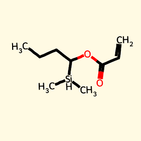 C=CC(=O)OC(CCC)[SiH](C)C